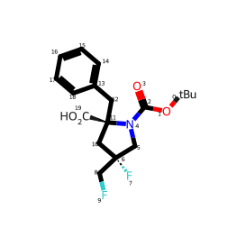 CC(C)(C)OC(=O)N1C[C@@](F)(CF)C[C@@]1(Cc1ccccc1)C(=O)O